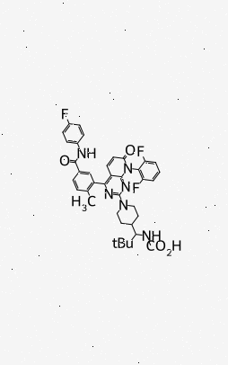 Cc1ccc(C(=O)Nc2ccc(F)cc2)cc1-c1nc(N2CCC(C(NC(=O)O)C(C)(C)C)CC2)nc2c1ccc(=O)n2-c1c(F)cccc1F